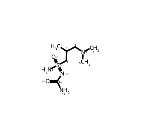 CC(CN(C)C)CS(N)(=O)=NC(N)=O